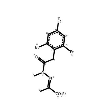 CCOC(=O)C(C)=NN(C)C(=O)Cc1c(CC)cc(CC)cc1CC